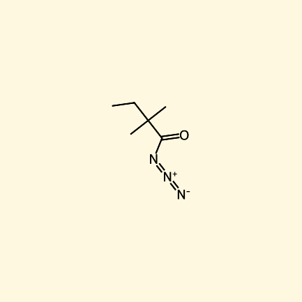 CCC(C)(C)C(=O)N=[N+]=[N-]